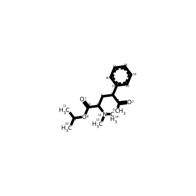 CC(=O)C(CC(C(=O)OC(C)C)N(C)C)c1ccccc1